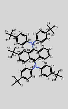 CC(C)(C)c1ccc(N(c2ccc(C(C)(C)C)cc2)c2c3ccccc3c(N(c3ccc(C(C)(C)C)cc3)c3ccc(C(C)(C)C)cc3)c3cc(C(C)(C)C)ccc23)cc1